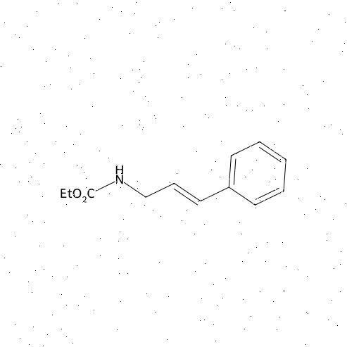 CCOC(=O)NCC=Cc1ccccc1